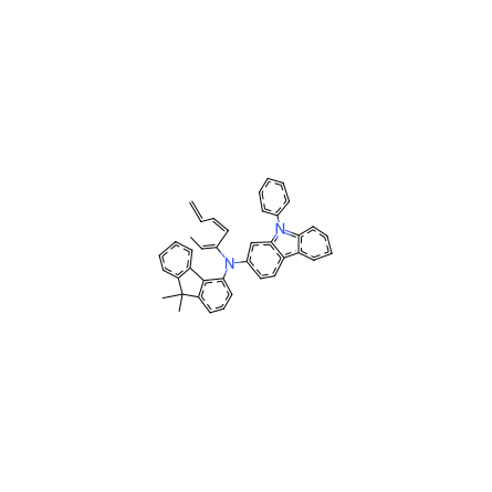 C=C/C=C\C(=C/C)N(c1ccc2c3ccccc3n(-c3ccccc3)c2c1)c1cccc2c1-c1ccccc1C2(C)C